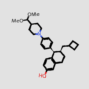 COC(OC)C1CCN(c2ccc([C@@H]3c4ccc(O)cc4CC[C@@H]3CC3CCC3)cc2)CC1